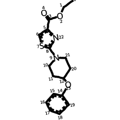 CCOC(=O)c1csc(N2CCC(Oc3ccccc3)CC2)n1